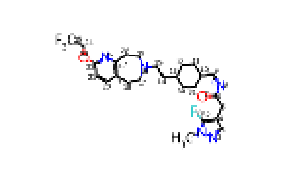 Cn1ncc(CC(=O)/N=C\C2CCC(CCN3CCc4ccc(OCC(F)(F)F)nc4CC3)CC2)c1F